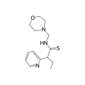 CCC(C(=S)NCN1CCOCC1)c1ccccn1